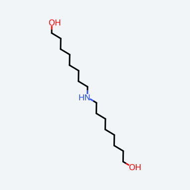 OCCCCCCCCNCCCCCCCCO